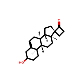 C[C@]12CCC(O)CC1=CC[C@@H]1[C@@H]2CC[C@@]2(C)[C@H]1CC[C@@]21CCC1=O